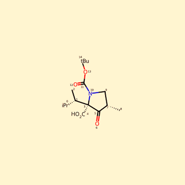 CC(C)[C@H](C)[C@]1(C(=O)O)C(=O)[C@@H](C)CN1C(=O)OC(C)(C)C